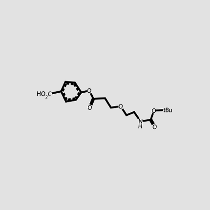 CC(C)(C)OC(=O)NCCOCCC(=O)Oc1ccc(C(=O)O)cc1